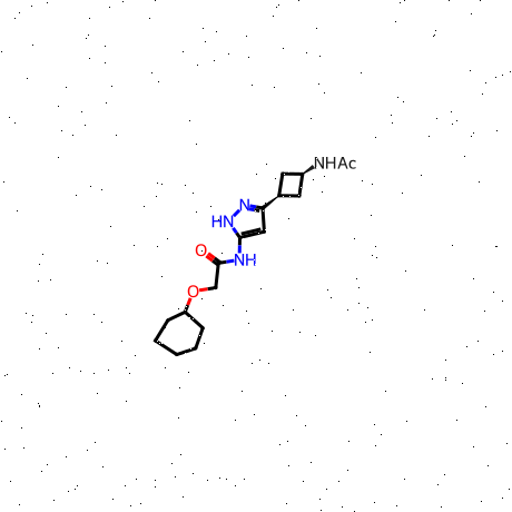 CC(=O)N[C@H]1C[C@@H](c2cc(NC(=O)COC3CCCCC3)[nH]n2)C1